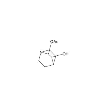 CC(=O)OC1C(O)C2CCN1CC2